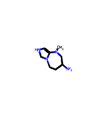 CN1CC(N)CCN2CNC=C12